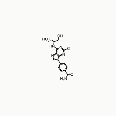 NC(=O)c1ccc(-n2cnc3c(NC(CO)C(=O)O)nc(Cl)nc32)cc1